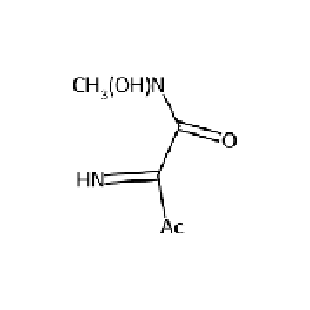 CC(=O)C(=N)C(=O)N(C)O